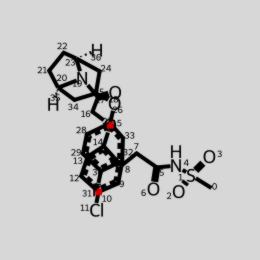 CS(=O)(=O)NC(=O)Cc1cc(Cl)ccc1OCC(=O)N1[C@@H]2CC[C@H]1CC(Oc1ccc(F)cc1)C2